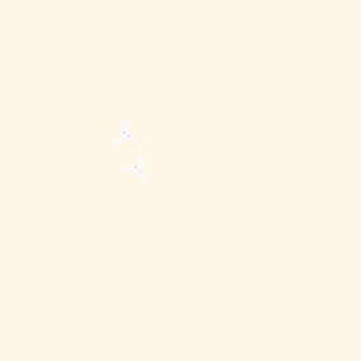 O=C(COc1cccc(Cl)c1Cl)N1CCNC1=S